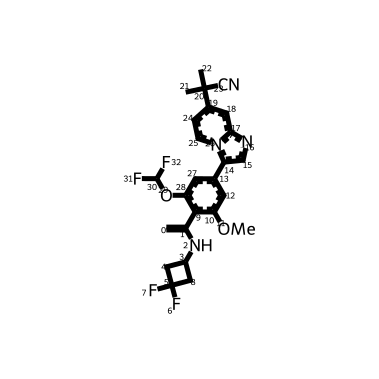 C=C(NC1CC(F)(F)C1)c1c(OC)cc(-c2cnc3cc(C(C)(C)C#N)ccn23)cc1OC(F)F